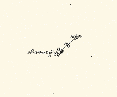 CC(C)OP(O)(=S)OCCCCCCNC(=O)CCCCCn1nnc2c1-c1ccccc1CN(C(=O)CCC(=O)NCCOCCOCCOCCOCCC(=O)C(C)C)c1ccccc1-2